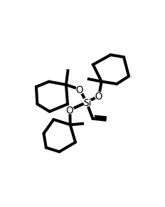 C=C[Si](OC1(C)CCCCC1)(OC1(C)CCCCC1)OC1(C)CCCCC1